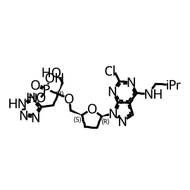 CC(C)CNc1nc(Cl)nc2c1cnn2[C@H]1CC[C@@H](CO[C@](CO)(Cc2nn[nH]n2)P(=O)(O)O)O1